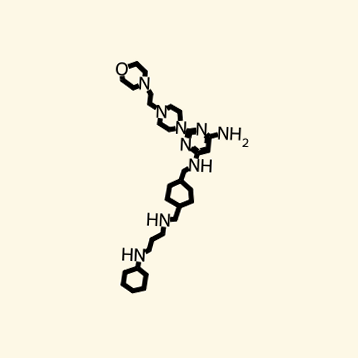 Nc1cc(NCC2CCC(CNCCCNC3CCCCC3)CC2)nc(N2CCN(CCN3CCOCC3)CC2)n1